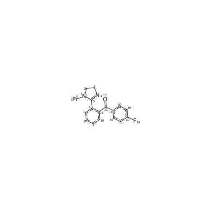 CC(C)N1CCN=C1c1ccccc1C(=O)c1ccc(F)cc1